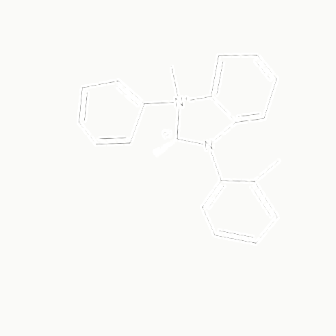 Cc1ccccc1N1c2ccccc2[N+](C)(c2ccccc2)[C@H]1C